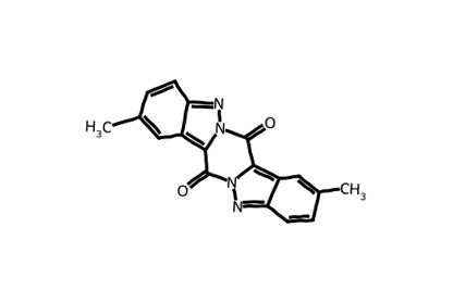 Cc1ccc2nn3c(=O)c4c5cc(C)ccc5nn4c(=O)c3c2c1